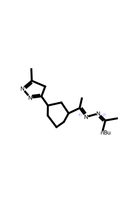 CCCC/C(C)=N\N=C(/C)C1CCCC(C2=NN=C(C)C2)C1